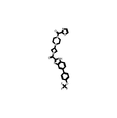 O=C(c1nc2cc(-c3ccc(OC(F)(F)F)cc3)ccc2[nH]1)N1CC(N2CCN(C(=O)c3nccs3)CC2)C1